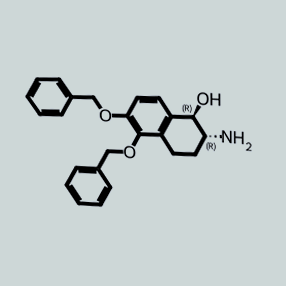 N[C@@H]1CCc2c(ccc(OCc3ccccc3)c2OCc2ccccc2)[C@H]1O